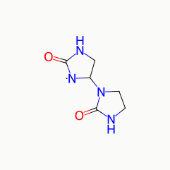 O=C1[N]C(N2CCNC2=O)CN1